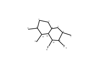 CC1CCC2CC(C)C(F)C(F)C2C1C